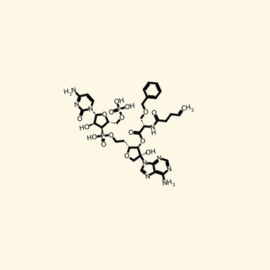 C=CCCC(=O)N[C@@H](COCc1ccccc1)C(=O)O[C@@H]1[C@@H](CCOP(=O)(O)[C@H]2[C@@H](O)[C@H](n3ccc(N)nc3=O)O[C@@H]2COP(=O)(O)O)OC[C@]1(O)n1cnc2c(N)ncnc21